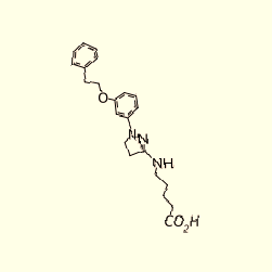 O=C(O)CCCCNC1=NN(c2cccc(OCCc3ccccc3)c2)CC1